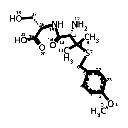 COc1ccc(CSC(C)(C)[C@@H](N)C(=O)N[C@@H](CO)C(=O)O)cc1